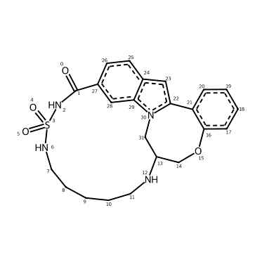 O=C1NS(=O)(=O)NCCCCCNC2COc3ccccc3-c3cc4ccc1cc4n3C2